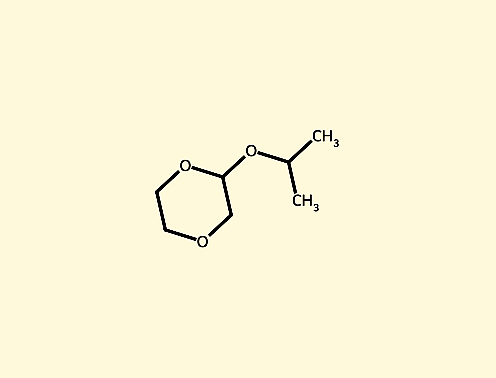 CC(C)OC1COCCO1